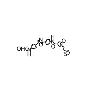 O=CNc1ccc(-c2cnc(-c3ccc(NC(=O)C4CC(=O)N(CCC5=CCCS5)C4)cc3)o2)cc1